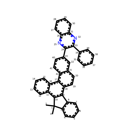 CC1(C)c2ccccc2-c2c1c1ccccc1c1c2ccc2cc(-c3nc4ccccc4nc3-c3ccccc3)ccc21